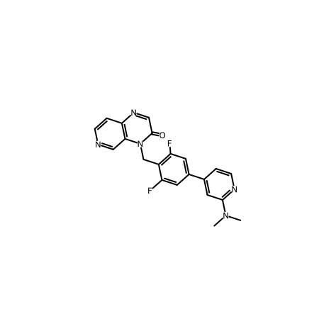 CN(C)c1cc(-c2cc(F)c(Cn3c(=O)cnc4ccncc43)c(F)c2)ccn1